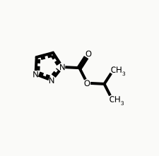 CC(C)OC(=O)n1ccnn1